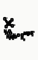 O.O.O.O.O.O.O=S(=O)([O-])[O-].[K+].[K+].[MgH2]